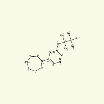 [2H]C([2H])([2H])C([2H])([2H])Oc1cncc(N2CCCNCC2)c1